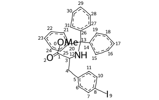 COC(=O)C(Cc1ccc(I)cc1)NC(c1ccccc1)(c1ccccc1)c1ccccc1